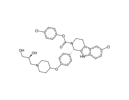 O=C(Oc1ccc(Cl)cc1)N1CCc2c([nH]c3ccc(Cl)cc23)[C@@H]1c1ccc(OC2CCN(C[C@H](O)CO)CC2)cc1